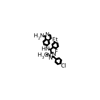 CCc1ccc(F)c(C(Nc2ccc3c(N)nccc3c2)c2nc(-c3ccc(Cl)cc3)nn2C)c1